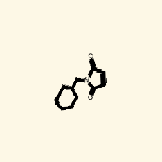 O=C1C=CC(=O)N1CC1C[CH]CCC1